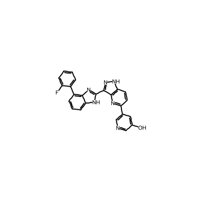 Oc1cncc(-c2ccc3[nH]nc(-c4nc5c(-c6ccccc6F)cccc5[nH]4)c3n2)c1